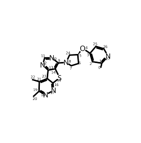 Cc1cc(O[C@H]2CCN(c3ncnc4c3sc3nnc(C)c(C)c34)C2)ccn1